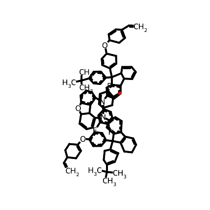 C=CC1=CCC(OC2C=CC(C3(c4ccc(C(C)(C)C)cc4)c4cc(N(c5ccc(F)c(F)c5)c5cccc6c5C5C(N(c7ccc8c(c7)C(C7=CC=C(C(C)(C)C)CC7)(c7ccc(OC9=CCC(C=C)CC9)cc7)C7=C8C=CCC7)C7C=CC(F)=C(F)C7)=CC=CC5O6)ccc4C4C=CC=CC43)=CC2)C=C1